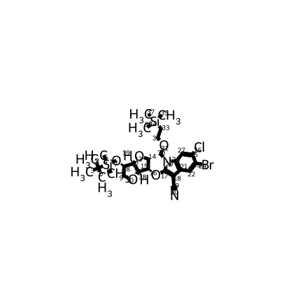 CC(C)(C)[Si](C)(C)O[C@@H]1CO[C@H]2[C@@H]1OC[C@H]2Oc1c(C#N)c2cc(Br)c(Cl)cc2n1COCC[Si](C)(C)C